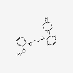 CC(C)Oc1ccccc1OCCOc1nccnc1N1CCNCC1